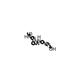 C=CC(=O)Nc1ccnc(-c2cccc3cnc(Nc4ccc(N5CCN(CC(C)(C)O)CC5)cc4)nc23)c1